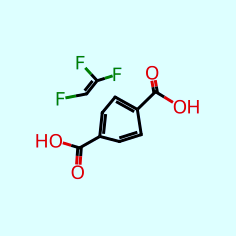 FC=C(F)F.O=C(O)c1ccc(C(=O)O)cc1